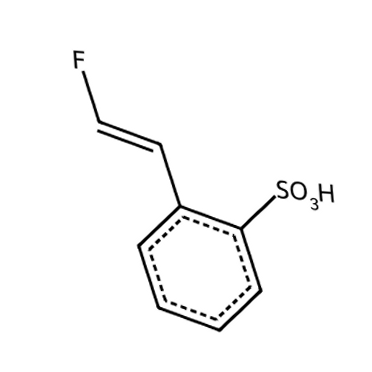 O=S(=O)(O)c1ccccc1/C=C/F